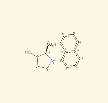 O=C(O)[C@@H]1C(O)CCN1c1cccc2ccccc12